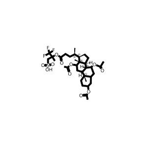 CC(=O)OC1CC[C@@]2(C)C(C1)CC(OC(C)=O)[C@H]1[C@@H]3CC[C@H]([C@H](C)CCC(=O)OC(C)(CS(=O)(=O)O)C(F)(F)F)[C@@]3(C)C(OC(C)=O)C[C@@H]12